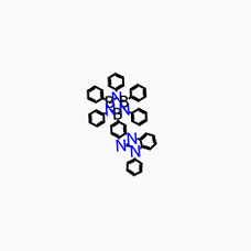 c1ccc(B2N(c3ccccc3)B(c3ccccc3)N(c3ccccc3)B(c3ccc4nc5n(-c6ccccc6)c6ccccc6n5c4c3)N2c2ccccc2)cc1